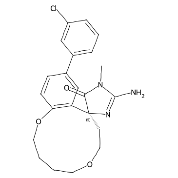 CN1C(=O)[C@@]2(CCOCCCCOc3ccc(-c4cccc(Cl)c4)cc32)N=C1N